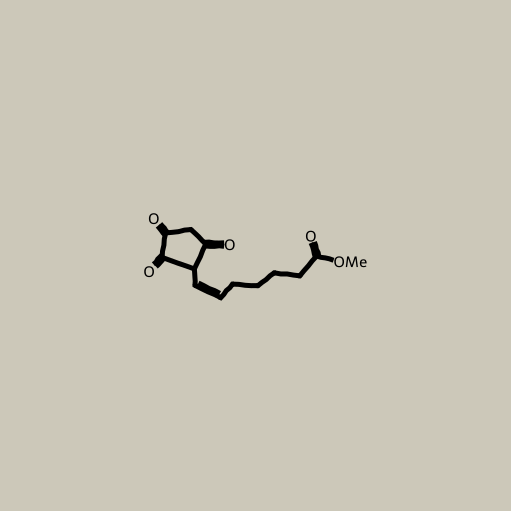 COC(=O)CCCC/C=C\C1C(=O)CC(=O)C1=O